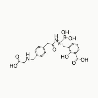 O=C(O)CNCc1ccc(CC(=O)N[C@@H](Cc2cccc(C(=O)O)c2O)B(O)O)cc1